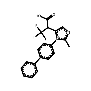 Cc1ncc(C(C(=O)O)C(F)(F)F)n1-c1ccc(-c2ccccc2)cc1